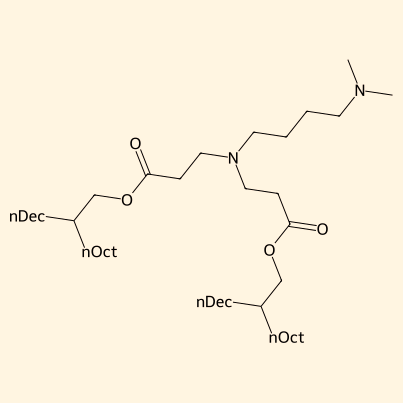 CCCCCCCCCCC(CCCCCCCC)COC(=O)CCN(CCCCN(C)C)CCC(=O)OCC(CCCCCCCC)CCCCCCCCCC